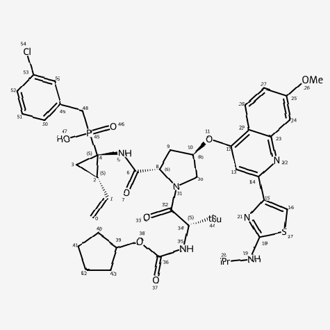 C=C[C@@H]1C[C@]1(NC(=O)[C@@H]1C[C@@H](Oc2cc(-c3csc(NC(C)C)n3)nc3cc(OC)ccc23)CN1C(=O)[C@@H](NC(=O)OC1CCCC1)C(C)(C)C)P(=O)(O)Cc1cccc(Cl)c1